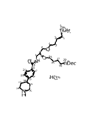 CCCCCCCCCCCCCCOCC(CNC(=O)c1ccc(C2CCNCC2)cc1)OCCCCCCCCCCCCCC.Cl